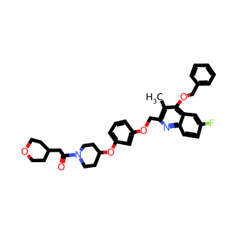 Cc1c(COc2cccc(OC3CCN(C(=O)CC4CCOCC4)CC3)c2)nc2ccc(F)cc2c1OCc1ccccc1